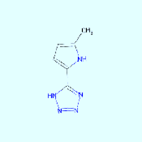 Cc1ccc(-c2nnn[nH]2)[nH]1